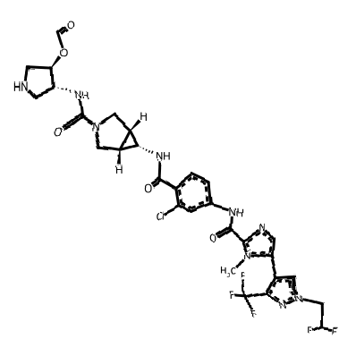 Cn1c(-c2cn(CC(F)F)nc2C(F)(F)F)cnc1C(=O)Nc1ccc(C(=O)N[C@@H]2[C@@H]3CN(C(=O)N[C@@H]4CNC[C@H]4OC=O)C[C@@H]32)c(Cl)c1